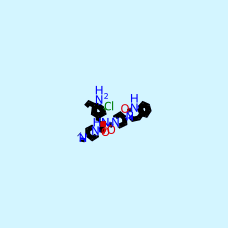 CCc1cc(C[C@@H](NC(=O)N2CCC(N3CCc4ccccc4NC3=O)CC2)C(=O)N2CCC(N(C)C)CC2)cc(Cl)c1N